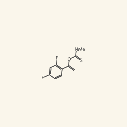 C=C(OC(=S)NC)c1ccc(F)cc1F